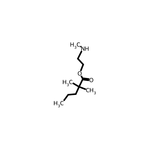 CCCC(C)(C)C(=O)OCCNC